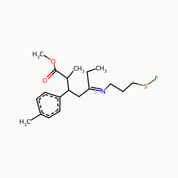 CC/C(CC(c1ccc(C)cc1)C(C)C(=O)OC)=N\CCCSF